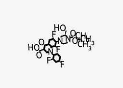 CC(C)(C)OC(=O)N1CCN(c2c(F)cc3c(=O)c(C(=O)O)cn(-c4ccc(F)cc4F)c3c2F)C[C@H]1CO